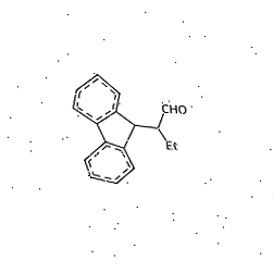 CCC(C=O)C1c2ccccc2-c2ccccc21